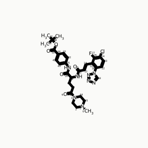 CN1CCN(C(=O)CCC(NC(=O)C=Cc2c(-n3cnnn3)ccc(Cl)c2F)C(=O)Nc2ccc(C(=O)OC(C)(C)C)cc2)CC1